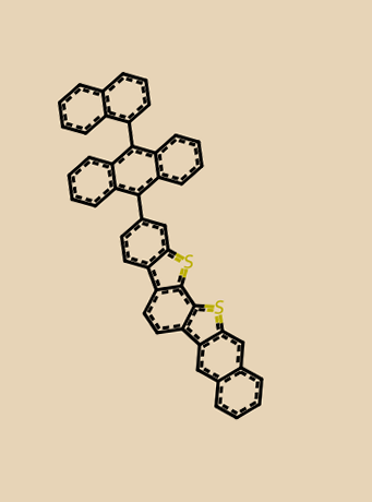 c1ccc2cc3c(cc2c1)sc1c3ccc2c3ccc(-c4c5ccccc5c(-c5cccc6ccccc56)c5ccccc45)cc3sc21